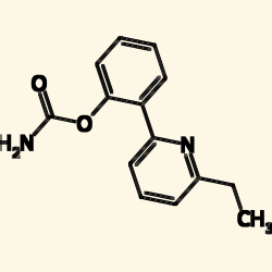 CCc1cccc(-c2ccccc2OC(N)=O)n1